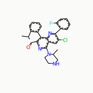 CC(C)c1ccccc1-c1c(C=O)nc(N2CCNCC2C)c2cc(Cl)c(-c3ccccc3F)nc12